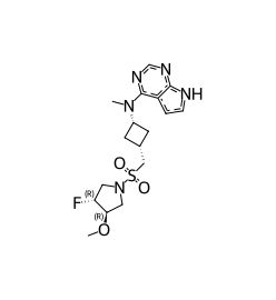 CO[C@@H]1CN(S(=O)(=O)C[C@H]2C[C@@H](N(C)c3ncnc4[nH]ccc34)C2)C[C@H]1F